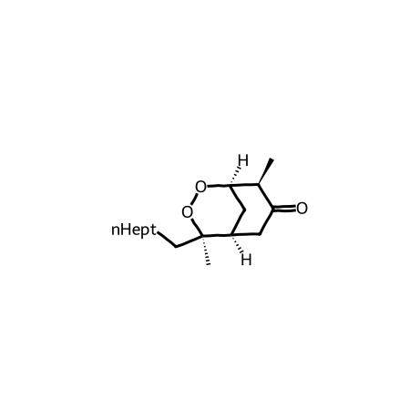 CCCCCCCC[C@@]1(C)OO[C@@H]2C[C@H]1CC(=O)[C@@H]2C